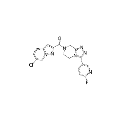 O=C(c1cc2ccc(Cl)cn2n1)N1CCn2c(nnc2-c2ccc(F)nc2)C1